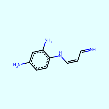 N=C/C=C\Nc1ccc(N)cc1N